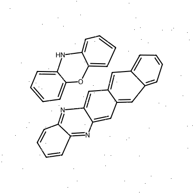 c1ccc2c(c1)Nc1ccccc1O2.c1ccc2cc3cc4nc5ccccc5nc4cc3cc2c1